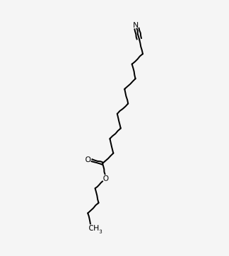 CCCCOC(=O)CCCCCCCCCC#N